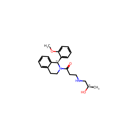 COc1ccccc1[C@@H]1c2ccccc2CCN1C(=O)CCNC[C@@H](C)O